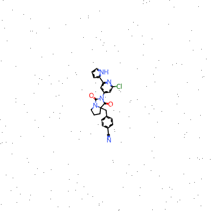 N#Cc1ccc(CC23CCCN2C(=O)N(c2cc(Cl)nc(-c4ccc[nH]4)c2)C3=O)cc1